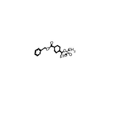 CCC(OS(C)(=O)=O)C1CCC(C(=O)OCc2ccccc2)CC1